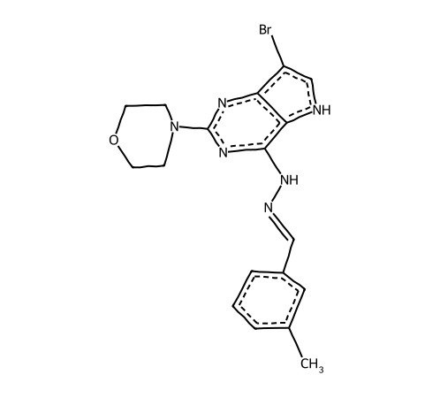 Cc1cccc(/C=N/Nc2nc(N3CCOCC3)nc3c(Br)c[nH]c23)c1